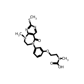 CSc1ncc2c(n1)N(C)CCN(c1cccc(OCCN(C)C(=O)O)c1)C2=O